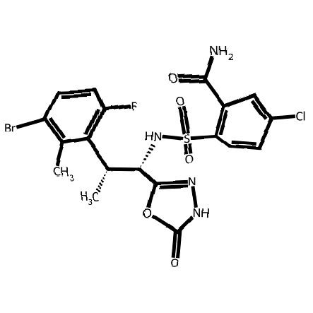 Cc1c(Br)ccc(F)c1[C@@H](C)[C@H](NS(=O)(=O)c1ccc(Cl)cc1C(N)=O)c1n[nH]c(=O)o1